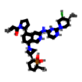 C=CC(=O)N1CCC[C@H]1c1ccc(N2CC([C@H]3CCC[C@H](C)S3(=O)=O)C2)c2cnc(Nc3ccnc(N4CC[C@@H](OC)[C@@H](F)C4)n3)cc12